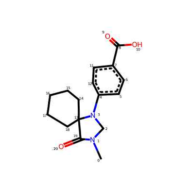 CN1CN(c2ccc(C(=O)O)cc2)C2(CCCCC2)C1=O